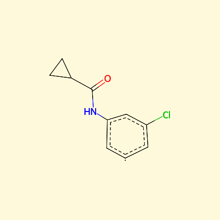 O=C(Nc1c[c]cc(Cl)c1)C1CC1